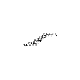 CCCCCc1ccc(-c2ccc(C3CCC(CCCCC)CC3)nc2)cc1